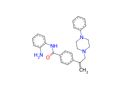 C=C(CN1CCN(c2ccccc2)CC1)c1ccc(C(=O)Nc2ccccc2N)cc1